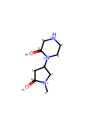 CN1CC(N2CCNCC2=O)CC1=O